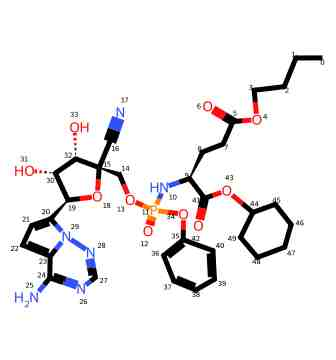 CCCCOC(=O)CC[C@H](NP(=O)(OC[C@@]1(C#N)O[C@@H](c2ccc3c(N)ncnn23)[C@H](O)[C@@H]1O)Oc1ccccc1)C(=O)OC1CCCCC1